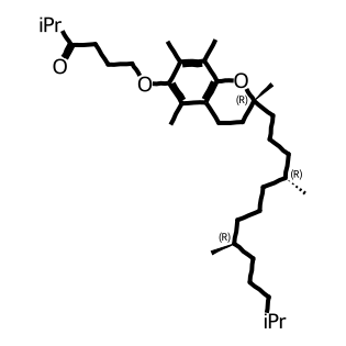 Cc1c(C)c2c(c(C)c1OCCCC(=O)C(C)C)CC[C@@](C)(CCC[C@H](C)CCC[C@H](C)CCCC(C)C)O2